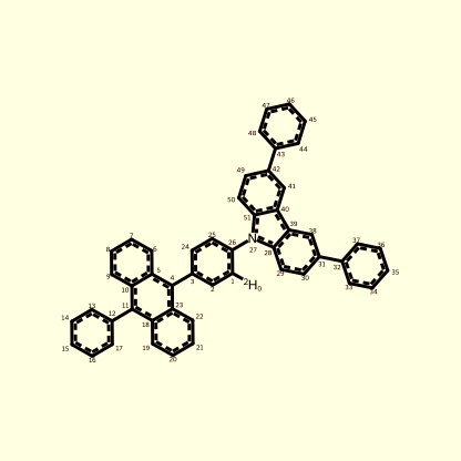 [2H]c1cc(-c2c3ccccc3c(-c3ccccc3)c3ccccc23)ccc1-n1c2ccc(-c3ccccc3)cc2c2cc(-c3ccccc3)ccc21